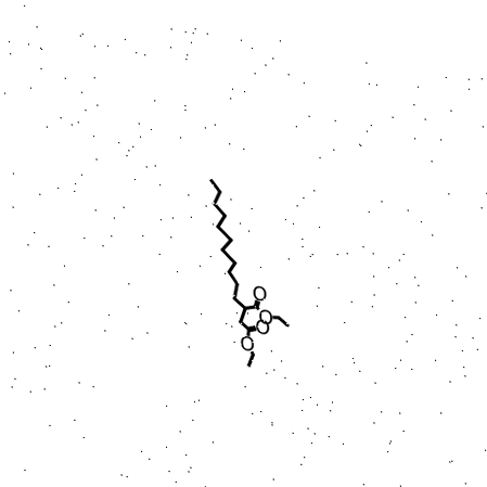 CCCCCCCCCCCC(CC(=O)OCC)C(=O)OCC